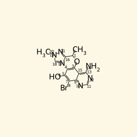 CC(Oc1cc(O)c(Br)c2ncnc(N)c12)c1ncn(C)n1